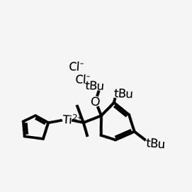 CC(C)(C)OC1([C](C)(C)[Ti+2][C]2=CC=CC2)CC=C(C(C)(C)C)C=C1C(C)(C)C.[Cl-].[Cl-]